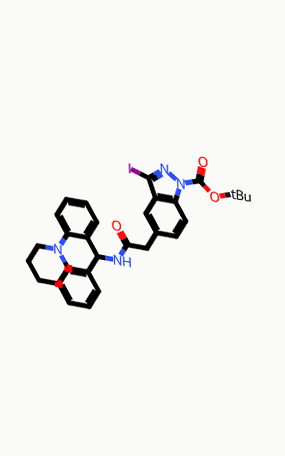 CC(C)(C)OC(=O)n1nc(I)c2cc(CC(=O)NC(c3ccccc3)c3ccccc3N3CCCCC3)ccc21